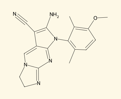 COc1ccc(C)c(-n2c(N)c(C#N)c3c2=NC2=NCCN2C=3)c1C